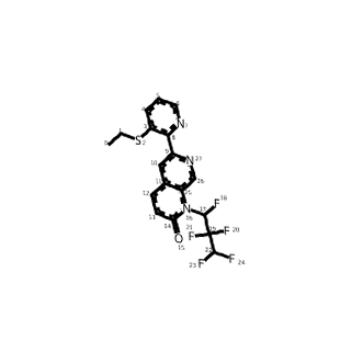 CCSc1cccnc1-c1cc2ccc(=O)n(C(F)C(F)(F)C(F)F)c2cn1